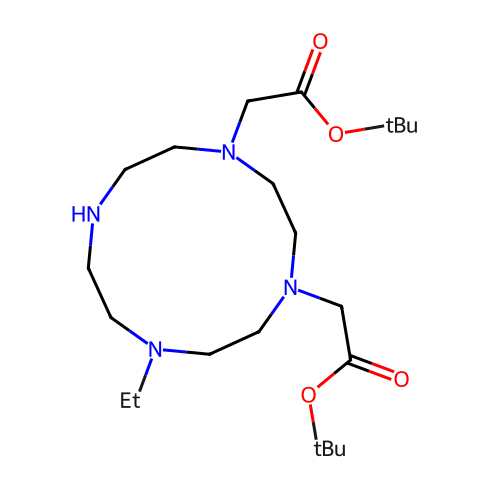 CCN1CCNCCN(CC(=O)OC(C)(C)C)CCN(CC(=O)OC(C)(C)C)CC1